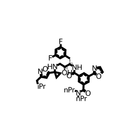 CCCN(CCC)C(=O)c1cc(C(=O)N[C@@H](Cc2cc(F)cc(F)c2)[C@H](O)CNC2(c3cc(CC(C)C)no3)CC2)cc(-c2ncco2)c1